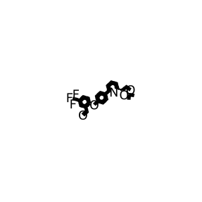 CC1(C)OC[C@H](c2cccc(-c3ccc(Oc4ccc(C(F)(F)F)cc4C=O)cc3)n2)O1